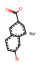 O=C([O-])c1ccc2cc(Br)ccc2c1.[Na+]